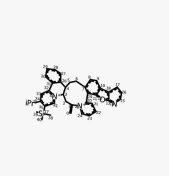 C=C1CC2C(CCc3ccc4c(oc5ncccc54)c3-c3cccc[n+]31)c1ccccc1-c1cc(C(C)C)c([Si](C)(C)C)c[n+]12